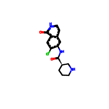 O=C(Nc1cc2cc[nH]c(=O)c2cc1Cl)[C@H]1CCCNC1